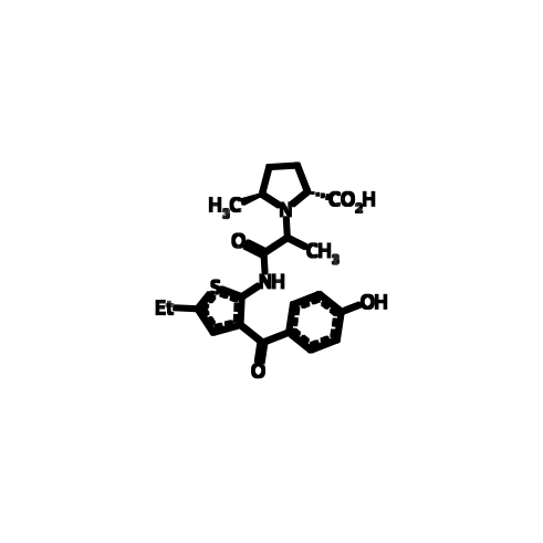 CCc1cc(C(=O)c2ccc(O)cc2)c(NC(=O)C(C)N2[C@@H](C(=O)O)CC[C@@H]2C)s1